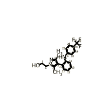 Cc1nn(CCO)c(C)c1-c1ccccc1Nc1ccc(C(F)(F)F)cc1